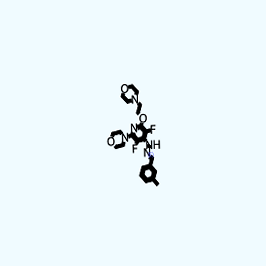 Cc1cccc(/C=N/Nc2c(F)c(OCCN3CCOCC3)nc(N3CCOCC3)c2F)c1